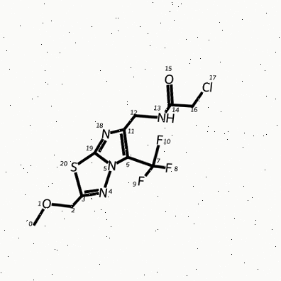 COCc1nn2c(C(F)(F)F)c(CNC(=O)CCl)nc2s1